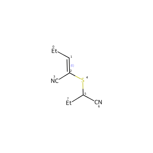 CC/C=C(\C#N)SC(C#N)CC